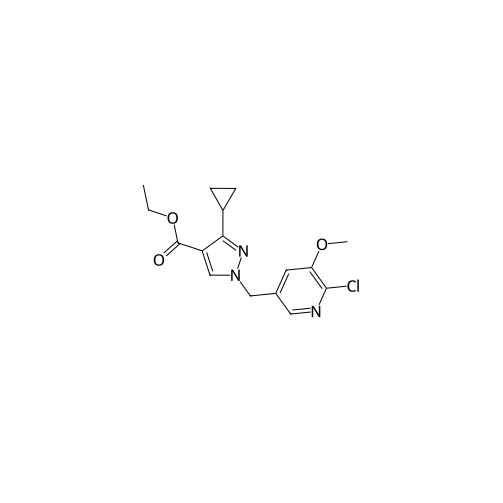 CCOC(=O)c1cn(Cc2cnc(Cl)c(OC)c2)nc1C1CC1